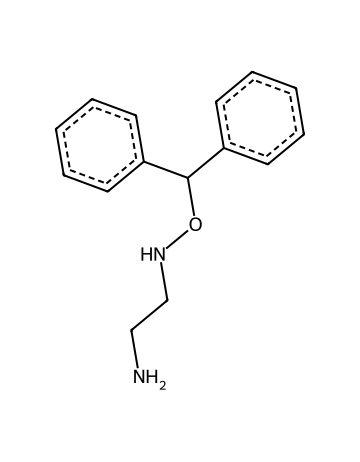 NCCNOC(c1ccccc1)c1ccccc1